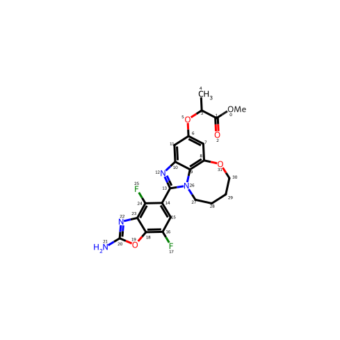 COC(=O)C(C)Oc1cc2c3c(c1)nc(-c1cc(F)c4oc(N)nc4c1F)n3CCCCO2